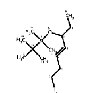 CCC(C=CCCI)O[Si](C)(C)C(C)(C)C